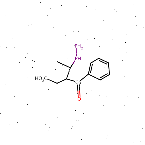 CC(PP)[CH](CC(=O)O)[Co](=[O])[c]1ccccc1